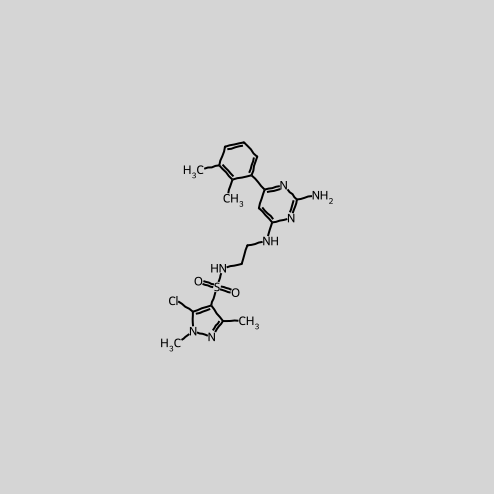 Cc1cccc(-c2cc(NCCNS(=O)(=O)c3c(C)nn(C)c3Cl)nc(N)n2)c1C